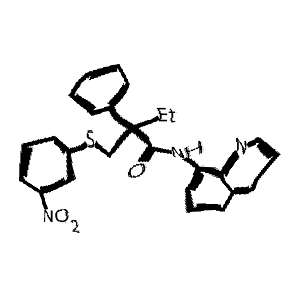 CCC(CSc1cccc([N+](=O)[O-])c1)(C(=O)Nc1cccc2cccnc12)c1ccccc1